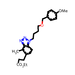 CCOC(=O)CCc1ccc2c(nnn2CCCCOCc2ccc(OC)cc2)c1C